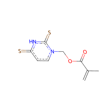 C=C(C)C(=O)OCn1ccc(=S)[nH]c1=S